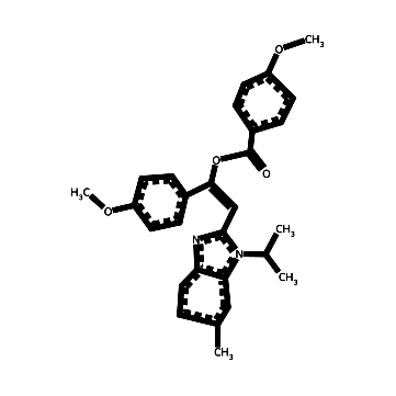 COc1ccc(C(=O)O/C(=C/c2nc3ccc(C)cc3n2C(C)C)c2ccc(OC)cc2)cc1